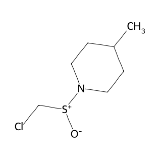 CC1CCN([S+]([O-])CCl)CC1